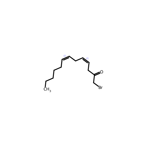 CCCCC/C=C\C/C=C\CC(=O)CBr